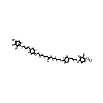 CCOc1ccc(OC/C=C/c2ccc(OCCCCCC(=O)CCCCCOc3ccc(/C=C/COc4ccc(O)c(F)c4F)cc3)cc2)c(F)c1F